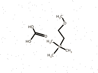 COCC[N+](C)(C)C.O=C(O)O